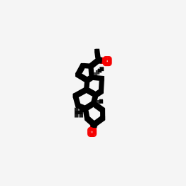 CC(=O)C1CCC2C3CC[C@@H]4CC(=O)CC[C@]4(C)C3CC[C@]12C